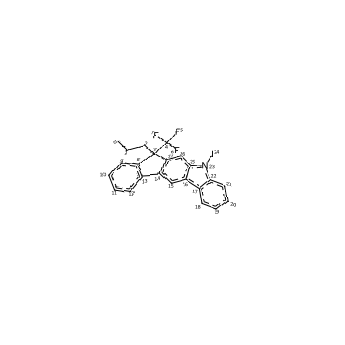 CCCC1(C(F)(F)F)c2ccccc2-c2cc3c4ccccc4n(I)c3cc21